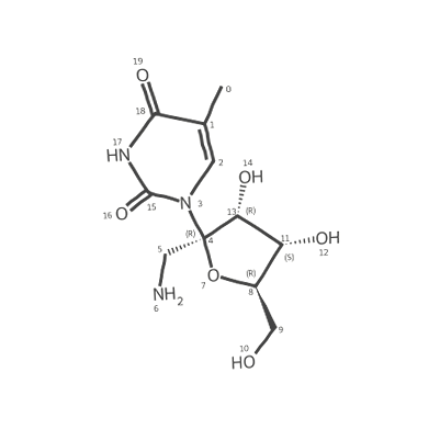 Cc1cn([C@]2(CN)O[C@H](CO)[C@@H](O)[C@H]2O)c(=O)[nH]c1=O